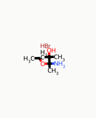 Br.CCOC(C)(N)C(C)(C)O